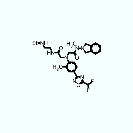 CCNCCNC(=O)CN(CC(=O)N(C)N1Cc2ccccc2C1)c1ccc(-c2noc(C(F)F)n2)cc1C